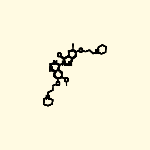 COc1cc2c(-n3cnc4cc(OCCCN5CCCCC5)c(C)cc4c3=O)ncnc2cc1OCCCN1CCCCC1